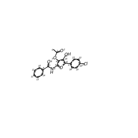 CC(=O)Oc1c(NC(=O)c2ccccc2)oc(-c2ccc(Cl)cc2)c1O